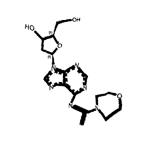 CC(=Nc1ncnc2c1ncn2[C@H]1CC(O)[C@@H](CO)O1)N1CCOCC1